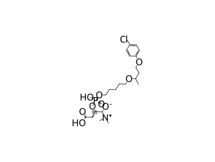 CC(CCOc1ccc(Cl)cc1)OCCCCCOP(=O)(O)O[C@H](CC(=O)O)C([O-])[N+](C)(C)C